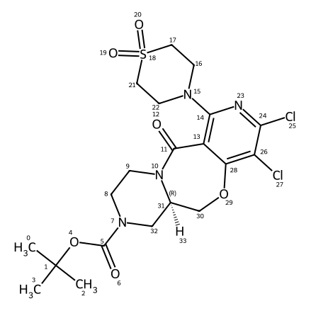 CC(C)(C)OC(=O)N1CCN2C(=O)c3c(N4CCS(=O)(=O)CC4)nc(Cl)c(Cl)c3OC[C@H]2C1